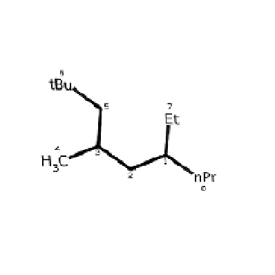 CCCC([CH]C(C)CC(C)(C)C)CC